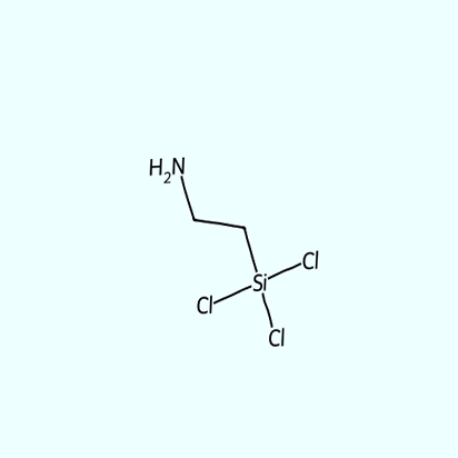 NCC[Si](Cl)(Cl)Cl